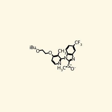 CCC(C)OCCOc1ccnc(-n2c([S+](C)[O-])nc3cc(C(F)(F)F)ccc32)c1C